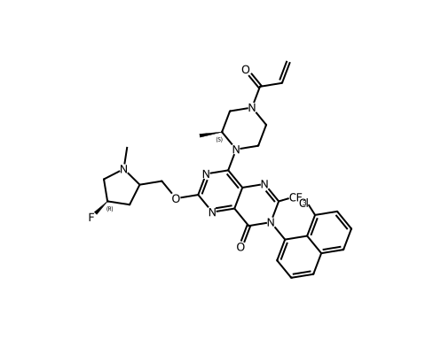 C=CC(=O)N1CCN(c2nc(OCC3C[C@@H](F)CN3C)nc3c(=O)n(-c4cccc5cccc(Cl)c45)c(C(F)(F)F)nc23)[C@@H](C)C1